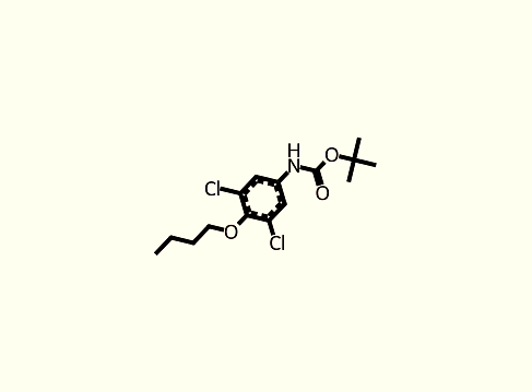 CCCCOc1c(Cl)cc(NC(=O)OC(C)(C)C)cc1Cl